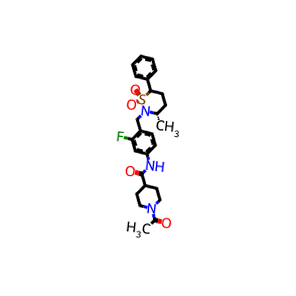 CC(=O)N1CCC(C(=O)Nc2ccc(CN3[C@@H](C)CCC(c4ccccc4)S3(=O)=O)c(F)c2)CC1